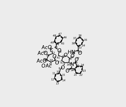 CC(=O)OC[C@H]1O[C@@H](O[C@H]2[C@H](OCc3ccccc3)[C@H](N3C(=O)c4ccccc4C3=O)[C@@H](ONC(=O)c3ccccc3)O[C@@H]2COCc2ccccc2)[C@H](OC(C)=O)[C@@H](OC(C)=O)[C@H]1OC(C)=O